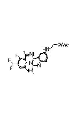 COCCNc1[c]cc2nc(C)nc(N[C@H](C)c3cc(N)cc(C(F)F)c3F)c2c1